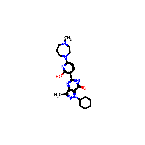 Cc1nn(C2CCCCC2)c2c(=O)[nH]c(-c3ccc(N4CCCN(C)CC4)nc3O)nc12